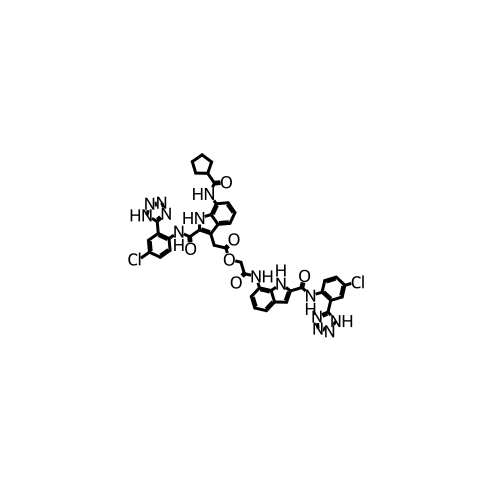 O=C(COC(=O)Cc1c(C(=O)Nc2ccc(Cl)cc2-c2nnn[nH]2)[nH]c2c(NC(=O)C3CCCC3)cccc12)Nc1cccc2cc(C(=O)Nc3ccc(Cl)cc3-c3nnn[nH]3)[nH]c12